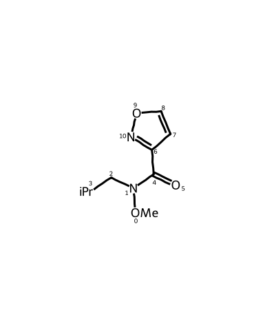 CON(CC(C)C)C(=O)c1ccon1